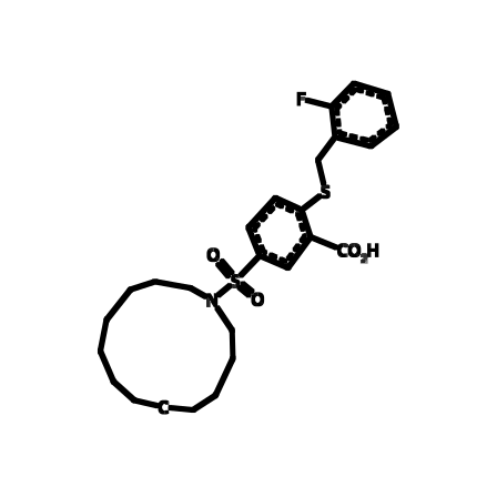 O=C(O)c1cc(S(=O)(=O)N2CCCCCCCCCCCC2)ccc1SCc1ccccc1F